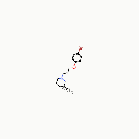 C[C@H]1CCCN(CCCOc2ccc(Br)cc2)C1